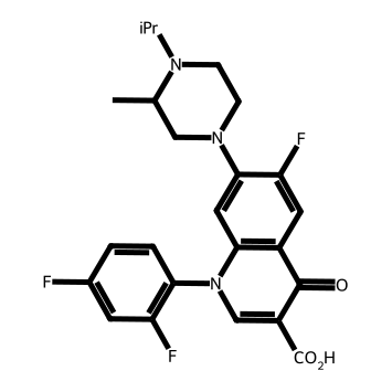 CC(C)N1CCN(c2cc3c(cc2F)c(=O)c(C(=O)O)cn3-c2ccc(F)cc2F)CC1C